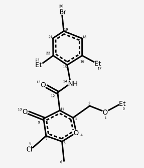 CCOCc1oc(C)c(Cl)c(=O)c1C(=O)Nc1c(CC)cc(Br)cc1CC